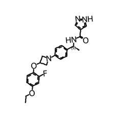 CCOc1ccc(OC2CN(c3ccc([C@H](C)NC(=O)c4cn[nH]c4)cc3)C2)c(F)c1